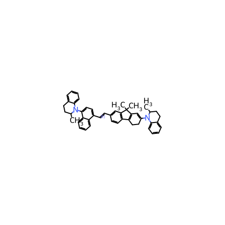 CC1CCc2ccccc2N1C1=CC2=C(CC1)c1ccc(/C=C/c3ccc(N4c5ccccc5CCC4C)c4ccccc34)cc1C2(C)C